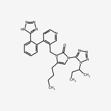 CCCCc1cn(-c2nnnn2C(C)CC)c(=O)n1Cc1cnccc1-c1ccccc1-c1nnn[nH]1